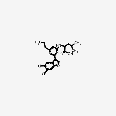 CCCc1cc(NC(CC(C)C)C(=O)O)nc(-c2coc3cc(Cl)c(Cl)cc23)n1